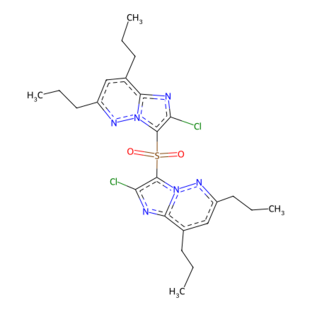 CCCc1cc(CCC)c2nc(Cl)c(S(=O)(=O)c3c(Cl)nc4c(CCC)cc(CCC)nn34)n2n1